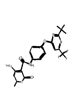 CC1CC(O)=C(C(=O)Nc2ccc(Oc3cc(C(F)(F)F)nc(C(C)(C)C)n3)cc2)C(=O)O1